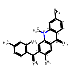 C=C(c1ccc(C)cc1C)c1cc2c(cc1C)C(=C)c1ccc(C)cc1N2C